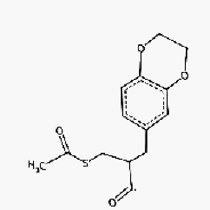 CC(=O)SCC([C]=O)Cc1ccc2c(c1)OCCO2